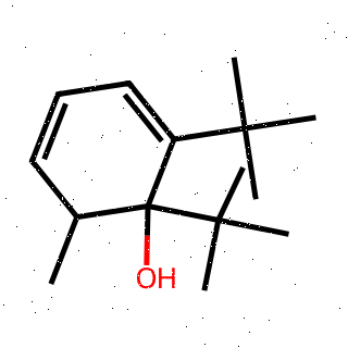 CC1C=CC=C(C(C)(C)C)C1(O)C(C)(C)C